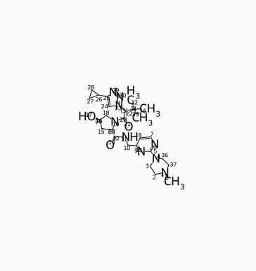 CN1CCN(c2nccc(CNC(=O)[C@@H]3C[C@@H](O)CN3C(=O)[C@@H](n3cc(C4CC4)nn3)C(C)(C)C)n2)CC1